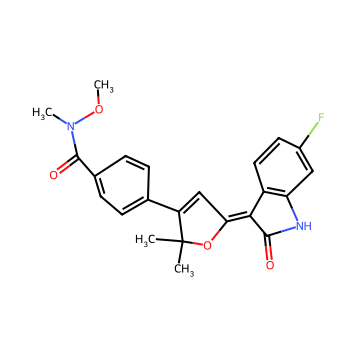 CON(C)C(=O)c1ccc(C2=CC(=C3C(=O)Nc4cc(F)ccc43)OC2(C)C)cc1